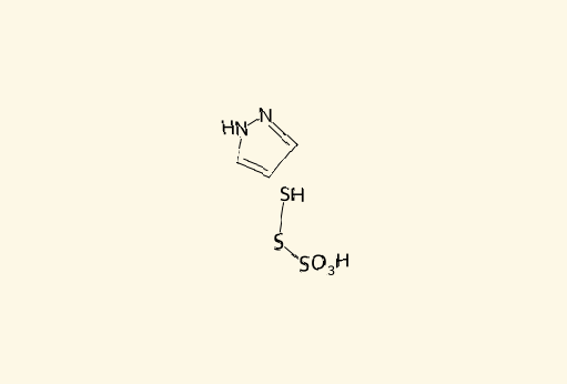 O=S(=O)(O)SS.c1cn[nH]c1